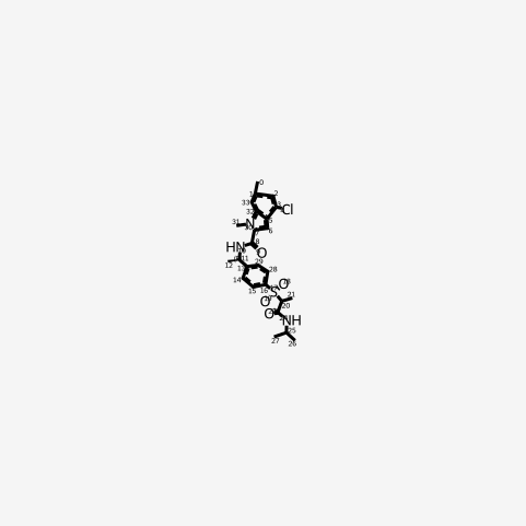 Cc1cc(Cl)c2cc(C(=O)N[C@H](C)c3ccc(S(=O)(=O)C(C)C(=O)NC(C)C)cc3)n(C)c2c1